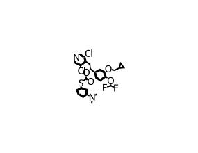 CN(C)c1cccc(SC(=O)O[C@@H](Cc2c(Cl)cncc2Cl)c2ccc(OC(F)F)c(OCC3CC3)c2)c1